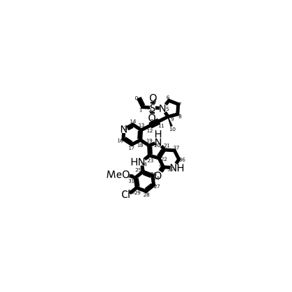 C=CS(=O)(=O)N1CCC[C@]1(C)C#Cc1cnccc1-c1[nH]c2c(c1Nc1cccc(Cl)c1OC)C(=O)NCC2